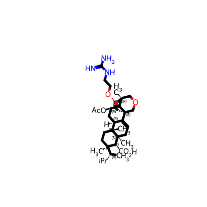 CC(=O)O[C@@H]1C[C@@]23COC[C@@](C)([C@@H]2CC[C@H]2C3=CC[C@@]3(C)[C@H](C(=O)O)[C@@](C)([C@H](C)C(C)C)CC[C@]23C)[C@H]1OCCNC(=N)N